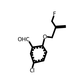 C=C(CF)COc1ccc(Cl)cc1C=O